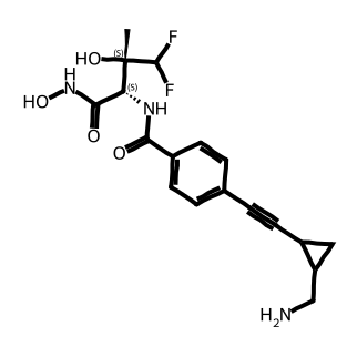 C[C@@](O)(C(F)F)[C@H](NC(=O)c1ccc(C#CC2CC2CN)cc1)C(=O)NO